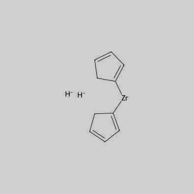 C1=CC[C]([Zr][C]2=CC=CC2)=C1.[H-].[H-]